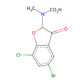 CN(C(=O)O)C1Oc2c(Cl)cc(Br)cc2C1=O